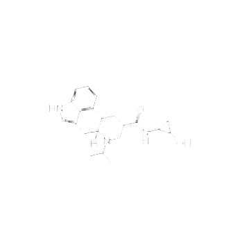 CC(C)N1CC(C(=O)NC2CC2O)CC2c3cccc4[nH]cc(c34)C[C@H]21